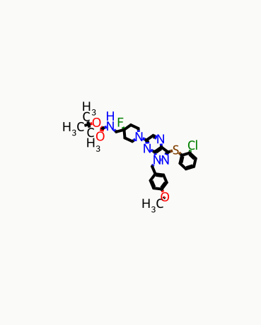 COc1ccc(Cn2nc(Sc3ccccc3Cl)c3ncc(N4CCC(F)(CNC(=O)OC(C)(C)C)CC4)nc32)cc1